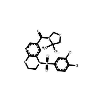 CC1(C)COCN1C(=O)c1cnc2c(c1)N(S(=O)(=O)c1ccc(Cl)c(Cl)c1)CCO2